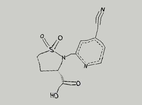 N#Cc1ccnc(N2[C@H](C(=O)O)CCS2(=O)=O)c1